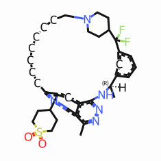 Cc1nnc2c3cc(C4CCS(=O)(=O)CC4)c(nc13)CCCCCCCCN1CCC(CC1)C(F)(F)c1cccc(c1)[C@@H](C)N2